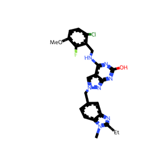 CCc1nc2cc(Cn3cc4c(NCc5c(Cl)ccc(OC)c5F)nc(O)nc4n3)ccc2n1C